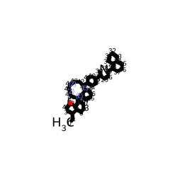 CCc1cccc2c1=CCCC=2/C1=c2\cccc\c2=C(/C2=CC=C(c3ccc(C4=c5ccccc5=CCC4)nc3)CC2)C/C=C\C=C/C1C